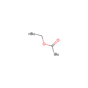 CCCCCOC(=O)C(C)CC